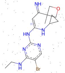 CCNc1nc(N/C(=C/C(=N)C2(C)COC2)NC2CC2)ncc1Br